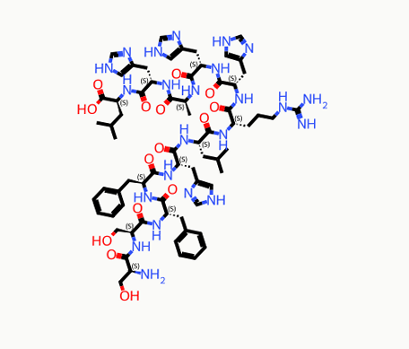 CC(C)C[C@H](NC(=O)[C@H](Cc1c[nH]cn1)NC(=O)[C@H](C)NC(=O)[C@H](Cc1c[nH]cn1)NC(=O)[C@H](Cc1c[nH]cn1)NC(=O)[C@H](CCCNC(=N)N)NC(=O)[C@H](CC(C)C)NC(=O)[C@H](Cc1c[nH]cn1)NC(=O)[C@H](Cc1ccccc1)NC(=O)[C@H](Cc1ccccc1)NC(=O)[C@H](CO)NC(=O)[C@@H](N)CO)C(=O)O